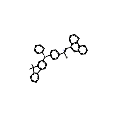 [2H]/C(=C\c1cc2ccccc2c2ccccc12)c1ccc(N(c2ccccc2)c2ccc3c(c2)C(C)(C)c2ccccc2-3)cc1